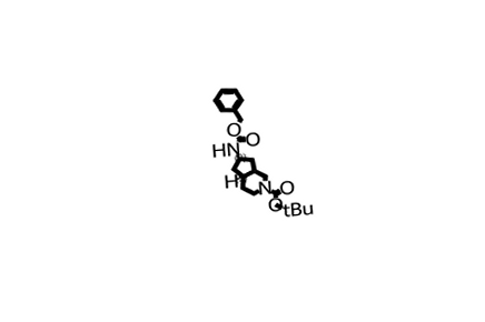 CC(C)(C)OC(=O)N1CC[C@H]2C[C@@H](NC(=O)OCc3ccccc3)CC2C1